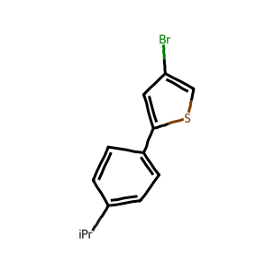 CC(C)c1ccc(-c2cc(Br)cs2)cc1